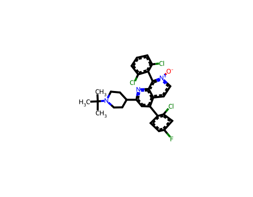 CC(C)(C)N1CCC(c2cc(-c3ccc(F)cc3Cl)c3cc[n+]([O-])c(-c4c(Cl)cccc4Cl)c3n2)CC1